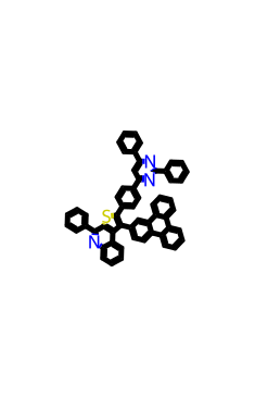 c1ccc(-c2cc(-c3ccc(-c4sc5c(-c6ccccc6)nc6ccccc6c5c4-c4ccc5c6ccccc6c6ccccc6c5c4)cc3)nc(-c3ccccc3)n2)cc1